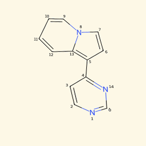 [c]1nccc(-c2ccn3ccccc23)n1